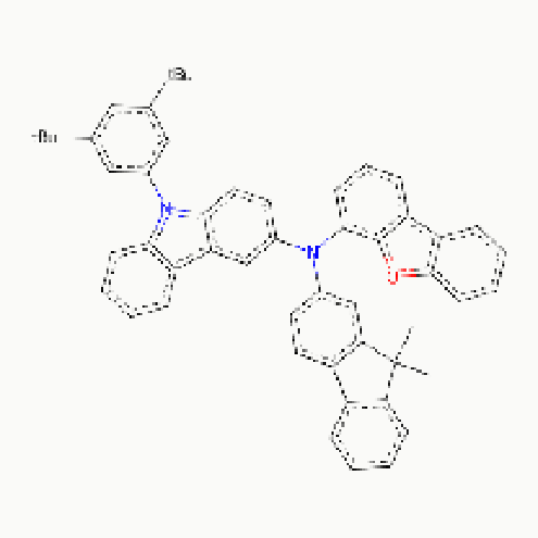 CC(C)(C)c1cc(-n2c3ccccc3c3cc(N(c4ccc5c(c4)C(C)(C)c4ccccc4-5)c4cccc5c4oc4ccccc45)ccc32)cc(C(C)(C)C)c1